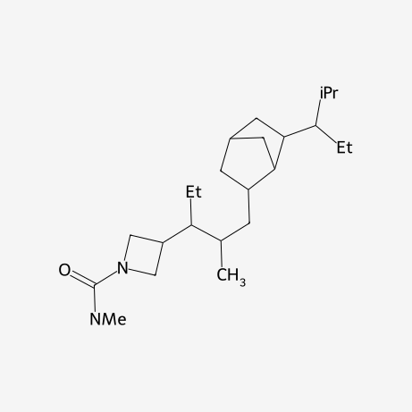 CCC(C(C)CC1CC2CC1C(C(CC)C(C)C)C2)C1CN(C(=O)NC)C1